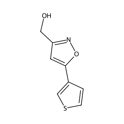 OCc1cc(-c2ccsc2)on1